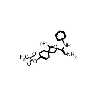 CCCC(=O)C1(CC/C(=C/N)Nc2ccccc2)CC=C(OS(=O)(=O)C(F)(F)F)CC1